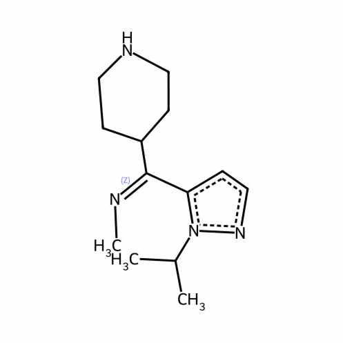 C/N=C(\c1ccnn1C(C)C)C1CCNCC1